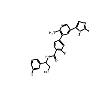 Cc1ncc(-c2cnc(N)c(-c3ccc(C(=O)NC(CO)c4cccc(Cl)c4)c(F)c3)c2)n1C